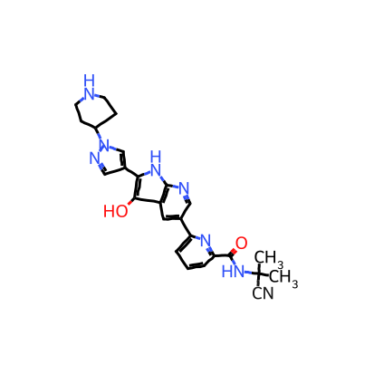 CC(C)(C#N)NC(=O)c1cccc(-c2cnc3[nH]c(-c4cnn(C5CCNCC5)c4)c(O)c3c2)n1